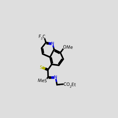 CCOC(=O)CN=C(SC)C(=S)c1ccc(OC)c2nc(C(F)(F)F)ccc12